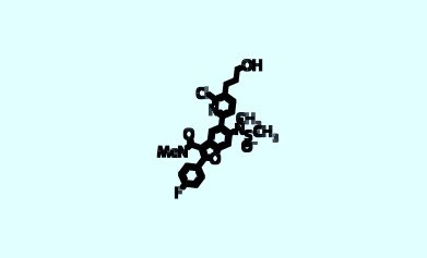 CNC(=O)c1c(-c2ccc(F)cc2)oc2cc(N(C)[S+](C)[O-])c(-c3ccc(CCCO)c(Cl)n3)cc12